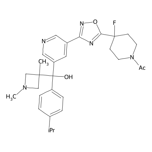 CC(=O)N1CCC(F)(c2nc(-c3cncc(C(O)(c4ccc(C(C)C)cc4)C4(C)CN(C)C4)c3)no2)CC1